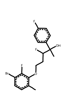 Cc1ccc(Br)c(F)c1OCCC(F)C(C)(O)c1ccc(F)cc1